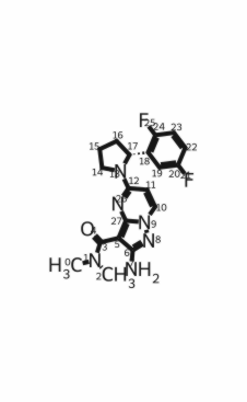 CN(C)C(=O)c1c(N)nn2ccc(N3CCC[C@@H]3c3cc(F)ccc3F)nc12